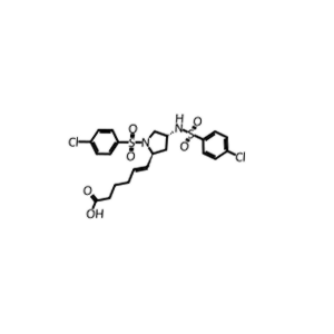 O=C(O)CCCC=C[C@@H]1C[C@@H](NS(=O)(=O)c2ccc(Cl)cc2)CN1S(=O)(=O)c1ccc(Cl)cc1